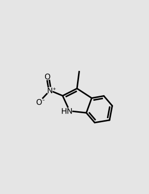 Cc1c([N+](=O)[O-])[nH]c2ccccc12